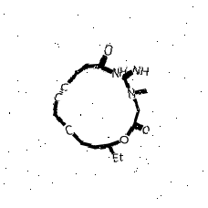 CCC1CCCCCCCCC(=O)NC(=N)N(C)CC(=O)O1